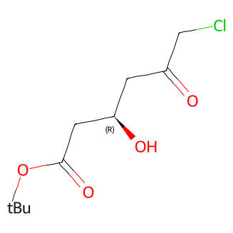 CC(C)(C)OC(=O)C[C@H](O)CC(=O)CCl